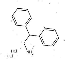 Cl.Cl.NCC(c1ccccc1)c1ccccn1